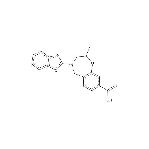 CC1CN(c2nc3ccccc3o2)Cc2ccc(C(=O)O)cc2O1